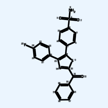 NS(=O)(=O)c1ccc(-c2sc(C(=O)c3ccccc3)nc2-c2ccc(F)cc2)cc1